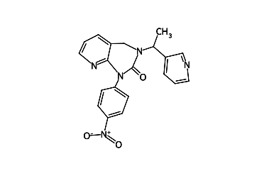 CC(c1cccnc1)N1Cc2cccnc2N(c2ccc([N+](=O)[O-])cc2)C1=O